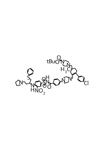 CC1(CN2CCN(C(=O)OC(C)(C)C)CC2)CCC(c2ccc(Cl)cc2)=C(CN2CCN(c3ccc(C(=O)NS(=O)(=O)c4ccc(NC(CCN5CCCC5)CSc5ccccc5)c([N+](=O)[O-])c4)cc3)CC2)C1